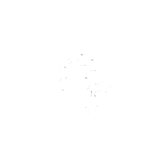 c1ccc(-n2c3ccccc3c3cc(C4c5c(ccc6ccccc56)Sc5ccc6ccccc6c54)ccc32)cc1